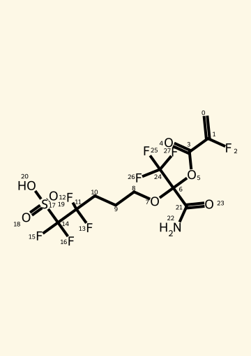 C=C(F)C(=O)OC(OCCCC(F)(F)C(F)(F)S(=O)(=O)O)(C(N)=O)C(F)(F)F